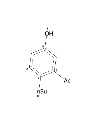 CCCCc1ccc(O)cc1C(C)=O